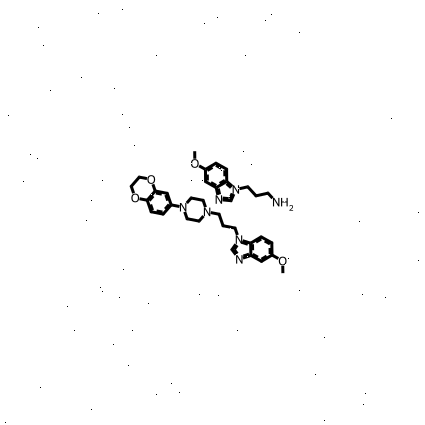 COc1ccc2c(c1)ncn2CCCN.COc1ccc2c(c1)ncn2CCCN1CCN(c2ccc3c(c2)OCCO3)CC1